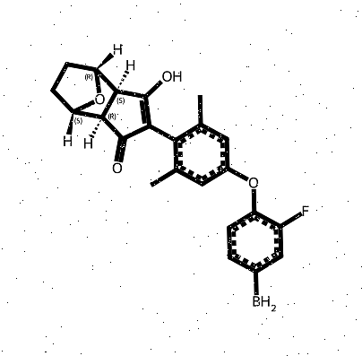 Bc1ccc(Oc2cc(C)c(C3=C(O)[C@H]4[C@@H](C3=O)[C@@H]3CC[C@H]4O3)c(C)c2)c(F)c1